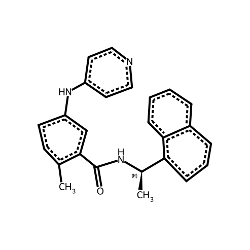 Cc1ccc(Nc2ccncc2)cc1C(=O)N[C@H](C)c1cccc2ccccc12